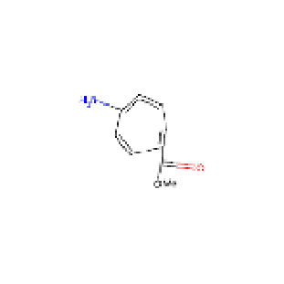 COC(=O)C1=CC=C=C(N)C=C1